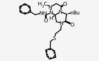 CCCC[C@H]1C(=O)N(CCSCc2ccccc2)C[C@H]2N1C(=O)CN(C)N2C(=O)NCc1ccccc1